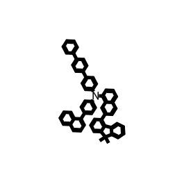 CC1(C)c2ccccc2-c2c(-c3ccc4cccc(N(c5ccc(-c6ccc(-c7ccccc7)cc6)cc5)c5ccc(-c6cccc7ccccc67)cc5)c4c3)cccc21